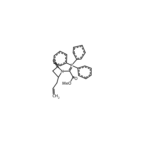 C=CCC1CC(=O)N1C(C(=O)OC)=P(c1ccccc1)(c1ccccc1)c1ccccc1